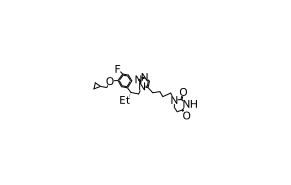 CC[C@@H](Cn1nncc1CCCCN1CCC(=O)NC1=O)c1ccc(F)c(OCC2CC2)c1